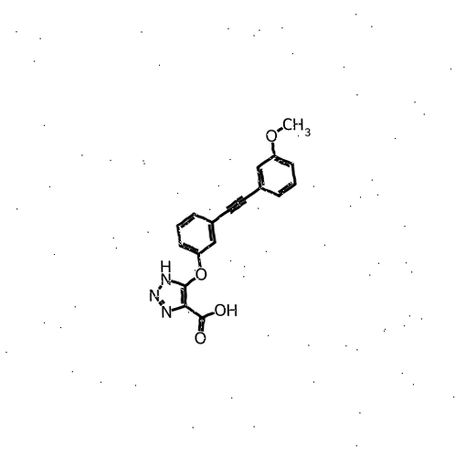 COc1cccc(C#Cc2cccc(Oc3[nH]nnc3C(=O)O)c2)c1